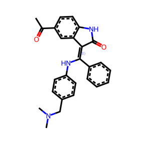 CC(=O)c1ccc2c(c1)/C(=C(\Nc1ccc(CN(C)C)cc1)c1ccccc1)C(=O)N2